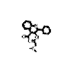 CN(C)CCOc1c(-c2ccccc2)nc2ccccc2c1C(=O)O